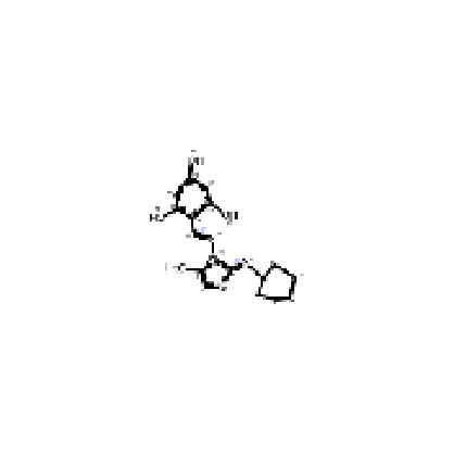 Cc1cs/c(=N\C2CCCCC2)n1/N=C/c1c(O)cc(O)cc1O